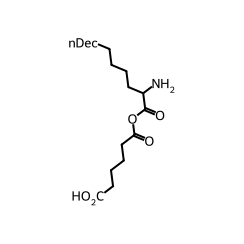 CCCCCCCCCCCCCCC(N)C(=O)OC(=O)CCCCC(=O)O